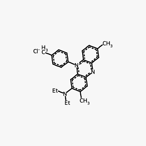 CCN(CC)c1cc2c(cc1C)nc1cc(C)ccc1[n+]2-c1ccc(C)cc1.[Cl-]